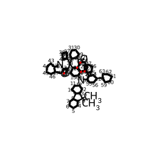 CC1(C)c2ccccc2-c2ccc(N(c3ccc4c(c3)P(=O)(c3ccccc3)c3ccccc3C43c4ccccc4-n4c5ccccc5c5cccc3c54)c3ccc(-c4ccccc4)cc3-c3ccccc3)cc21